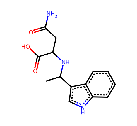 CC(NC(CC(N)=O)C(=O)O)c1c[nH]c2ccccc12